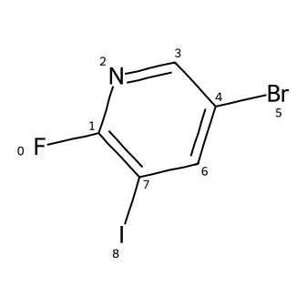 Fc1ncc(Br)cc1I